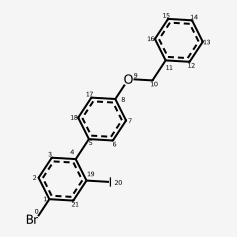 Brc1ccc(-c2ccc(OCc3ccccc3)cc2)c(I)c1